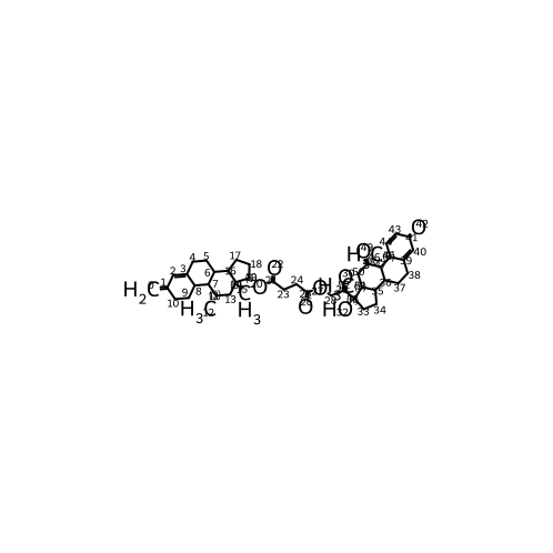 C=C1C=C2CCC3C(C2CC1)[C@@H](C)C[C@@]1(C)C3CC[C@@H]1OC(=O)CCC(=O)OCC(=O)[C@@]1(O)CCC2C3CCC4=CC(=O)C=C[C@]4(C)C3C(=O)C[C@@]21C